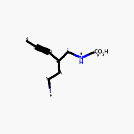 CC#CC(CCI)CNC(=O)O